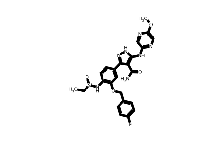 CC[S+]([O-])Nc1ccc(-c2n[nH]c(Nc3cnc(OC)cn3)c2C(N)=O)cc1OCc1ccc(F)cc1